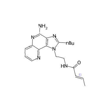 C/C=C/C(=O)NCCn1c(CCCC)nc2c(N)nc3cccnc3c21